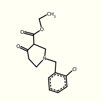 CCOC(=O)C1CN(Cc2ccccc2Cl)CCC1=O